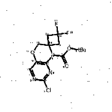 CC(C)(C)OC(=O)N1c2nc(Cl)ncc2OCC12CC(F)(F)C2